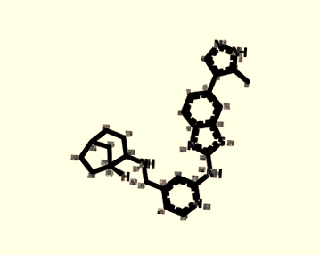 Cc1[nH]ncc1-c1ccc2nc(Nc3cc(CNC4CCC5CC[C@@H]4C5)ccn3)sc2c1